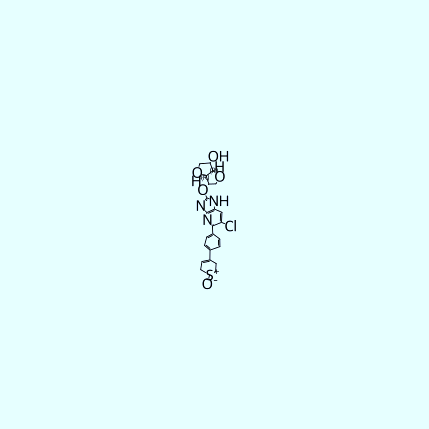 [O-][S+]1CC=C(c2ccc(-c3nc4nc(OC5CO[C@@H]6C(O)CO[C@H]56)[nH]c4cc3Cl)cc2)CC1